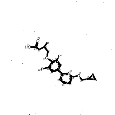 CC(COc1c(F)cc(-c2cccc(OCC3CC3)n2)cc1F)CC(=O)O